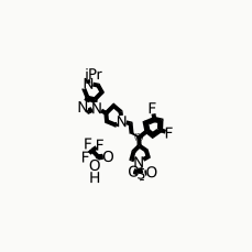 CC(C)N1CCc2c(ncn2C2CCN(CC[C@@H](c3cc(F)cc(F)c3)C3CCN(S(C)(=O)=O)CC3)CC2)C1.O=C(O)C(F)(F)F